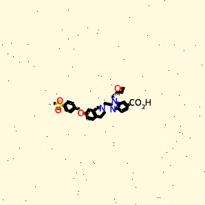 CS(=O)(=O)c1ccc(COc2ccc3c(c2)CN(Cc2nc4ccc(C(=O)O)cc4n2C[C@@H]2CCO2)CC3)cc1